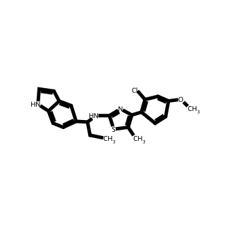 CCC(Nc1nc(-c2ccc(OC)cc2Cl)c(C)s1)c1ccc2[nH]ccc2c1